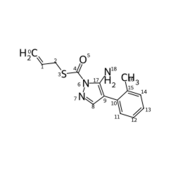 C=CCSC(=O)n1ncc(-c2ccccc2C)c1N